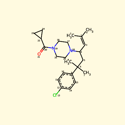 CC(C)=CC(CC(C)(C)c1ccc(Cl)cc1)N1CCN(C(=O)C2CC2)CC1